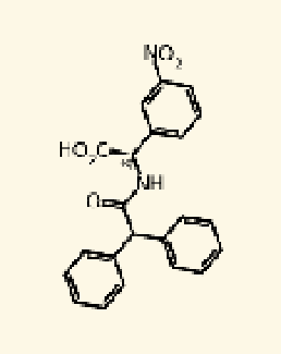 O=C(N[C@@H](C(=O)O)c1cccc([N+](=O)[O-])c1)C(c1ccccc1)c1ccccc1